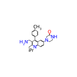 Cc1ccc(-c2c(CN)c(CC(C)C)nc3ccc(N4CCNC(=O)C4)cc23)cc1